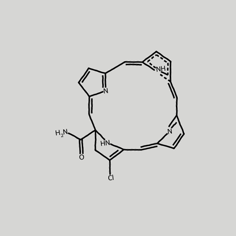 NC(=O)C12C=C3C=CC(=N3)C=c3ccc([nH]3)=CC3=NC(=CC(=C(Cl)C1)N2)C=C3